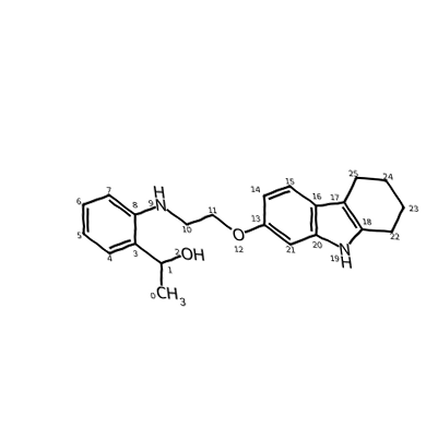 CC(O)c1ccccc1NCCOc1ccc2c3c([nH]c2c1)CCCC3